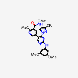 CONC(=O)c1cc(-c2cnc(Nc3cc(OC)cc(OC)c3)nc2-n2ccc(C(F)(F)F)n2)cnc1OC